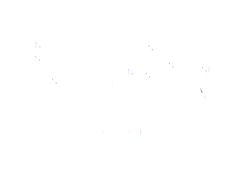 CC(C)[C@H]1CN(c2ncc(-c3ccc(-c4cnn5cccnc45)cc3O)nn2)CCN1.O=C(O)C(F)(F)F